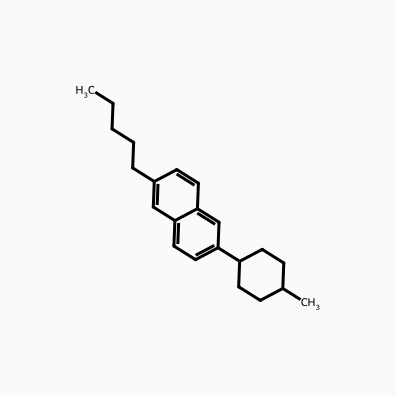 CCCCCc1ccc2cc(C3CCC(C)CC3)ccc2c1